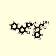 CN(C(=O)C(CC(=O)O)Cc1ccccc1)c1nc(-c2cc(-c3ccccc3)ccc2Cl)cs1